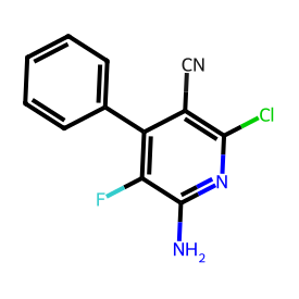 N#Cc1c(Cl)nc(N)c(F)c1-c1ccccc1